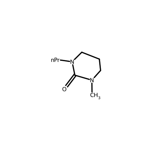 [CH2]CCN1CCCN(C)C1=O